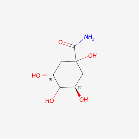 NC(=O)C1(O)C[C@@H](O)C(O)[C@H](O)C1